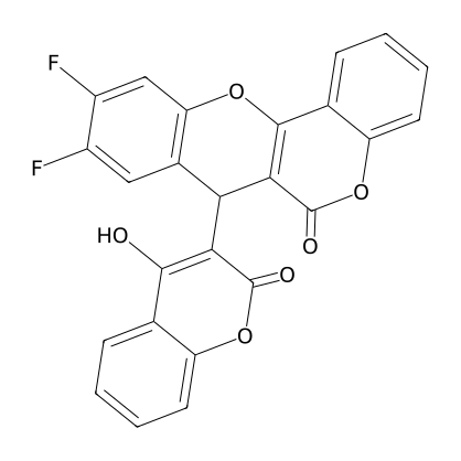 O=c1oc2ccccc2c(O)c1C1c2cc(F)c(F)cc2Oc2c1c(=O)oc1ccccc21